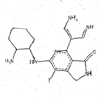 N=C/C(=C\N)c1nc(NC2CCCCC2N)c(F)c2c1C(=O)NC2